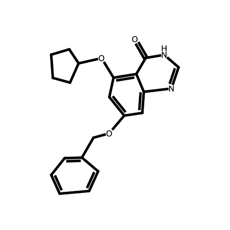 O=c1[nH]cnc2cc(OCc3ccccc3)cc(OC3CCCC3)c12